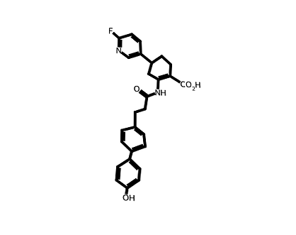 O=C(CCc1ccc(-c2ccc(O)cc2)cc1)NC1=C(C(=O)O)CCC(c2ccc(F)nc2)C1